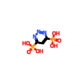 O=P(O)(O)c1cc(P(=O)(O)O)nnn1